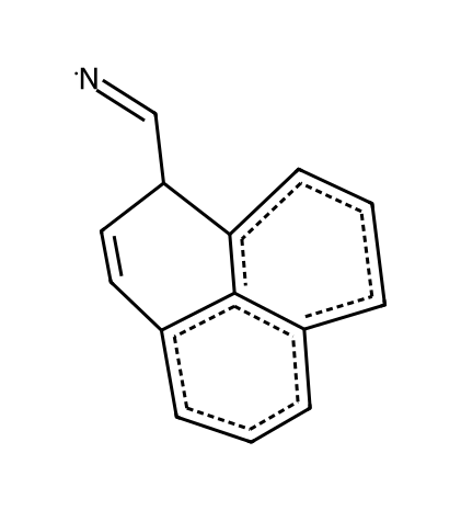 [N]=CC1C=Cc2cccc3cccc1c23